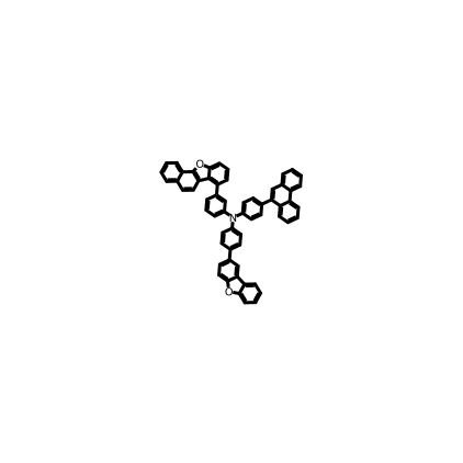 c1cc(-c2cccc3oc4c5ccccc5ccc4c23)cc(N(c2ccc(-c3ccc4oc5ccccc5c4c3)cc2)c2ccc(-c3cc4ccccc4c4ccccc34)cc2)c1